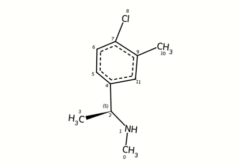 CN[C@@H](C)c1ccc(Cl)c(C)c1